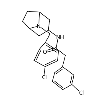 O=C(Cc1cccc(Cl)c1)NC1CC2CCC(C1)N2Cc1ccc(Cl)cc1